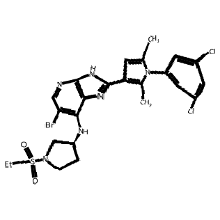 CCS(=O)(=O)N1CC[C@H](Nc2c(Br)cnc3[nH]c(-c4cc(C)n(-c5cc(Cl)cc(Cl)c5)c4C)nc23)C1